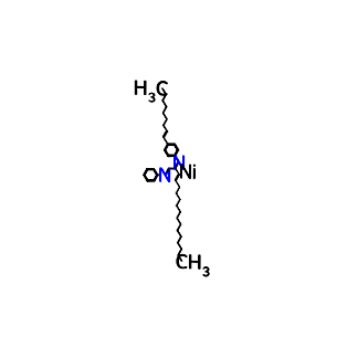 CCCCCCCC=Cc1ccc(N=C(C=CCCCCCCCCCCCCC)C=Nc2ccccc2)cc1.[Ni]